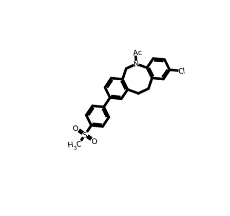 CC(=O)N1Cc2ccc(-c3ccc(S(C)(=O)=O)cc3)cc2CCc2cc(Cl)ccc21